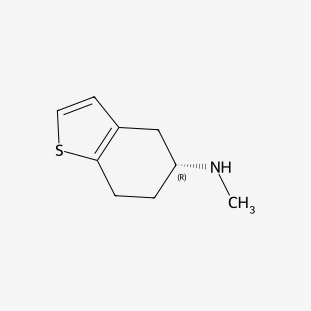 CN[C@@H]1CCc2sccc2C1